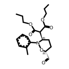 CCCOC(=O)C(C(=O)OCCC)[C@H]1CC[C@H](C=O)ON1c1ccccc1C